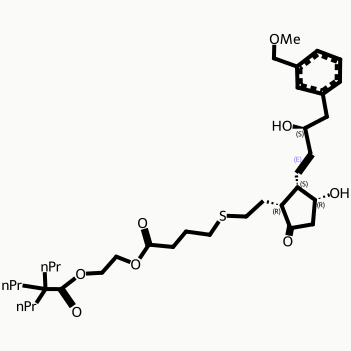 CCCC(CCC)(CCC)C(=O)OCCOC(=O)CCCSCC[C@H]1C(=O)C[C@@H](O)[C@H]1/C=C/[C@@H](O)Cc1cccc(COC)c1